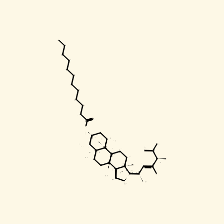 CCCCCCCCCCCC(=O)O[C@H]1CC[C@@]2(C)[C@@H](CC[C@@H]3[C@@H]2CC[C@]2(C)[C@@H]([C@H](C)/C=C(\C)[C@H](C)C(C)C)CC[C@@H]32)[C@@H]1C